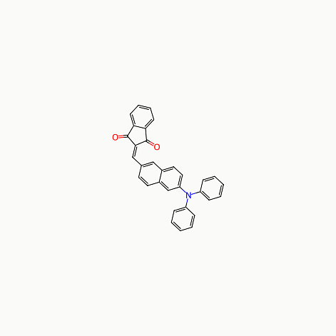 O=C1C(=Cc2ccc3cc(N(c4ccccc4)c4ccccc4)ccc3c2)C(=O)c2ccccc21